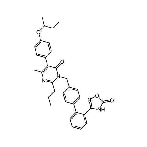 CCCc1nc(C)c(-c2ccc(OC(C)CC)cc2)c(=O)n1Cc1ccc(-c2ccccc2-c2noc(=O)[nH]2)cc1